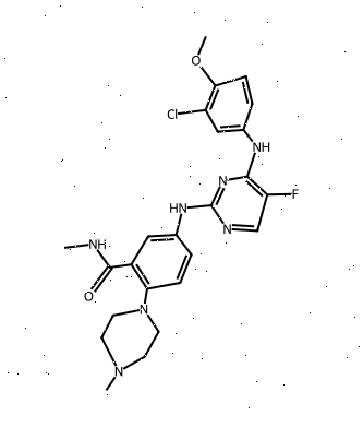 CNC(=O)c1cc(Nc2ncc(F)c(Nc3ccc(OC)c(Cl)c3)n2)ccc1N1CCN(C)CC1